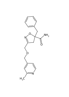 Cc1cc(COCC2=NOC(Cc3ccccc3)(C(N)=O)C2)ccn1